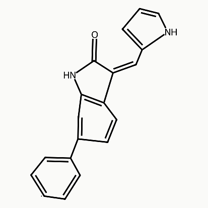 O=C1Nc2cc(-c3cc[c]cc3)ccc2C1=Cc1ccc[nH]1